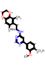 CCOc1cc(-c2cc(NCCc3c(OC)cc4c(c3C)OCCO4)ncn2)ccc1C(=O)O